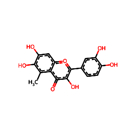 Cc1c(O)c(O)cc2oc(-c3ccc(O)c(O)c3)c(O)c(=O)c12